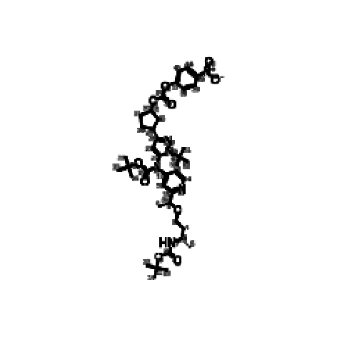 C[C@H](OCC[C@H](C)NC(=O)OC(C)(C)C)c1cc(N(C(=O)OC(C)(C)C)c2cc([C@H]3CC[C@@H](OC(=O)Oc4ccc([N+](=O)[O-])cc4)C3)nn2C(C)(C)C)ccn1